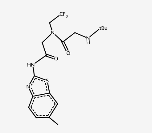 Cc1ccc2nc(NC(=O)CN(CC(F)(F)F)C(=O)CNC(C)(C)C)sc2c1